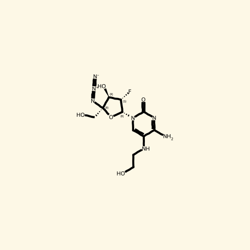 [N-]=[N+]=N[C@]1(CO)O[C@@H](n2cc(NCCO)c(N)nc2=O)[C@@H](F)[C@@H]1O